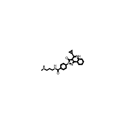 CN(C)CCCNC(=O)c1ccc(-n2nc3c4ccccc4[nH]c(C4CC4)c-3c2=O)cc1